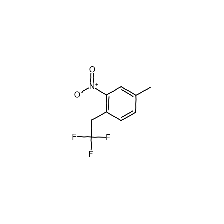 Cc1ccc(CC(F)(F)F)c([N+](=O)[O-])c1